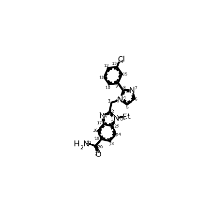 CCn1c(Cn2ccnc2-c2cccc(Cl)c2)nc2cc(C(N)=O)ccc21